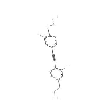 CCCc1ccc(C#Cc2ccc(OCC)c(F)c2)c(F)c1